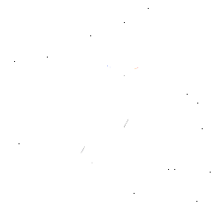 CCCC/C=C\CCCC/C=C\CCCCC(O)(C[N+](C)(C)C)P(=O)(O)O